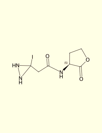 O=C(CC1(I)NN1)N[C@H]1CCOC1=O